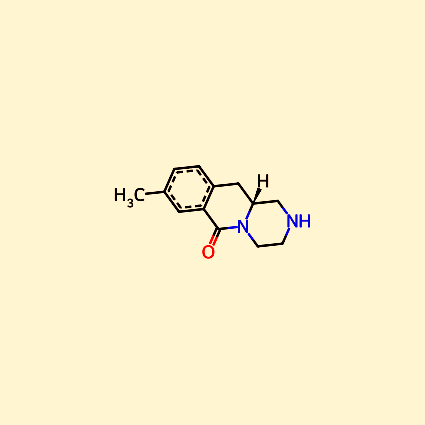 Cc1ccc2c(c1)C(=O)N1CCNC[C@H]1C2